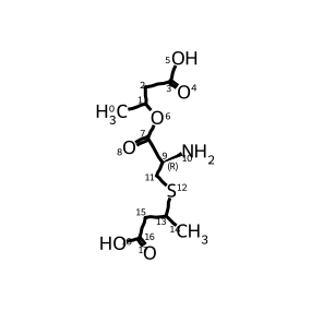 CC(CC(=O)O)OC(=O)[C@@H](N)CSC(C)CC(=O)O